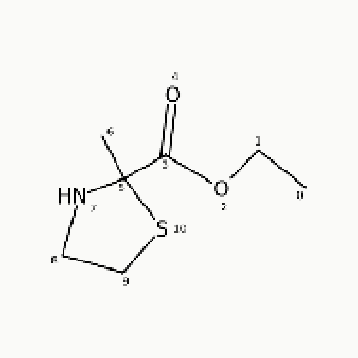 CCOC(=O)C1(C)NCCS1